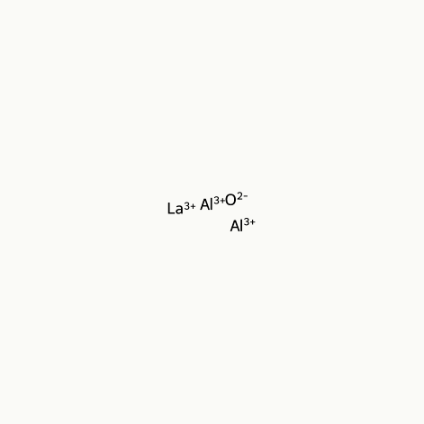 [Al+3].[Al+3].[La+3].[O-2]